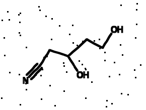 N#CCC(O)CCO